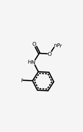 CCCOC(=O)Nc1ccccc1I